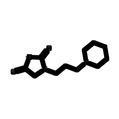 O=C1CN(CCCN2CCCCC2)C(=O)[N]1